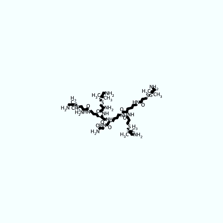 CC(C)(CN)SSCCC(=O)NCCCCC(NC(=O)CCSSC(C)(C)CN)C(=O)NCCCC[C@@H](NC(=O)[C@@H](CCCCNC(=O)[C@H](N)CSSC(C)(C)CN)NC(=O)[C@H](N)CSSC(C)(C)CN)C(=O)NCC(N)=O